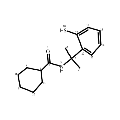 CC(C)(NC(=O)C1CCCCC1)c1ccccc1S